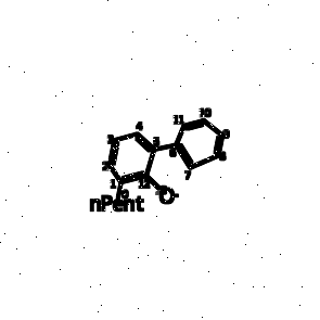 CCCCCc1cccc(-c2ccccc2)c1[O]